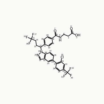 O=C(O)CCNC(=O)c1ccc(C(CCC(F)(F)F)n2ncc3cc(-c4ccc(C(F)(F)F)cc4Cl)ccc32)cc1